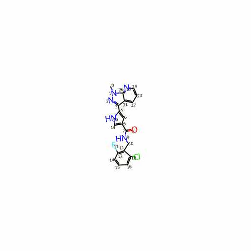 Cn1nc(-c2cc(C(=O)NCc3c(F)cccc3Cl)c[nH]2)c2cccnc21